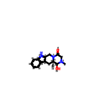 CN1CC(=O)N2Cc3[nH]c4ccccc4c3C[C@@H]2C1O